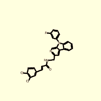 O=C(/C=C/c1ccc(Cl)c(Cl)c1)NCc1cc2c3ccccc3n(-c3cccc(F)c3)c2cn1